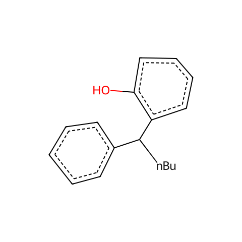 CCCCC(c1ccccc1)c1ccccc1O